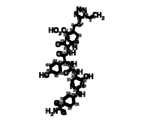 C=Cn1nnnc1SCC1=C(C(=O)O)N2C(=O)C(NC(=O)C(NC(=O)Nc3cnc(Nc4ccc(S(N)(=O)=O)cc4)nc3O)c3ccc(O)cc3)[C@@H]2SC1